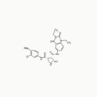 CCn1c(=O)c2cc(NC(=O)[C@@H]3CNC[C@@H]3C(=O)Nc3ccc(C#N)c(Cl)c3)ccc2n(CC)c1=O.Cl